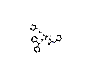 C[C@]1(COC(=O)Nc2ccncc2)[C@H](C(=O)OC(c2ccccc2)c2ccccc2)N2C(=O)/C(=C/c3ccccn3)C2S1(=O)=O